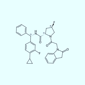 O=C(N[C@@H](c1ccccc1)c1ccc(C2CC2)c(F)c1)[C@@H]1C[C@@H](F)CN1C(=O)CN1C(=O)Cc2ccccc21